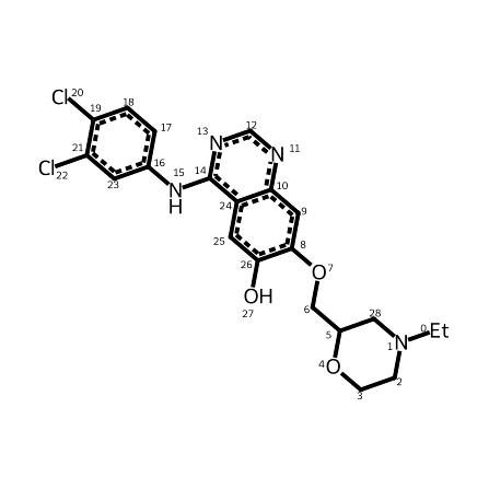 CCN1CCOC(COc2cc3ncnc(Nc4ccc(Cl)c(Cl)c4)c3cc2O)C1